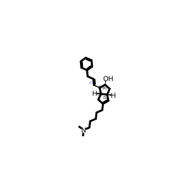 CN(C)CCCCCC1=C[C@H]2C[C@@H](O)[C@H](/C=C/Cc3ccccc3)[C@H]2C1